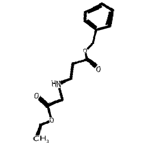 CCOC(=O)CNCCC(=O)OCc1ccccc1